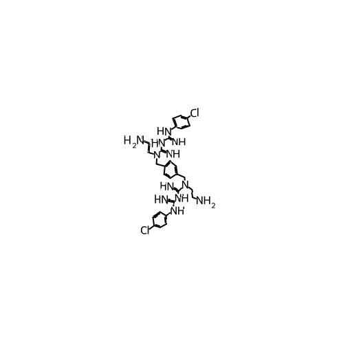 N=C(NC(=N)N(CCN)Cc1ccc(CN(CCN)C(=N)NC(=N)Nc2ccc(Cl)cc2)cc1)Nc1ccc(Cl)cc1